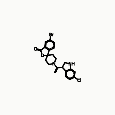 C=C(C1CNc2cc(Cl)ccc21)N1CCC2(CC1)OC(=O)c1cc(Br)ccc12